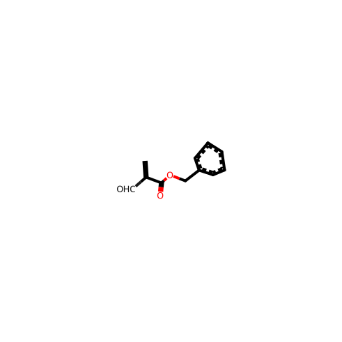 C=C(C=O)C(=O)OCc1ccccc1